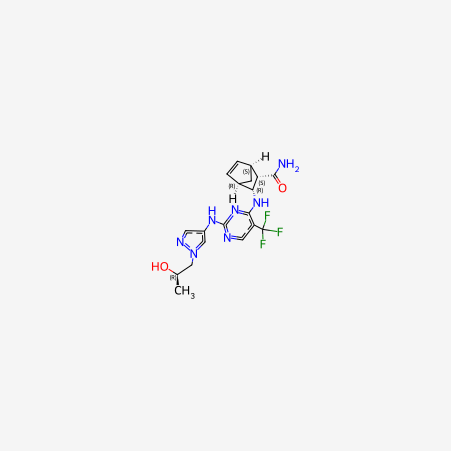 C[C@@H](O)Cn1cc(Nc2ncc(C(F)(F)F)c(N[C@H]3[C@@H](C(N)=O)[C@@H]4C=C[C@H]3C4)n2)cn1